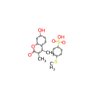 CSc1ccc(S(=O)(=O)O)cc1.Cc1c(C)c2ccc(O)cc2oc1=O